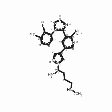 CNCCC[C@@H](C)n1cc(-c2cnc(N)c(-c3nnnn3-c3cccc(F)c3F)c2)cn1